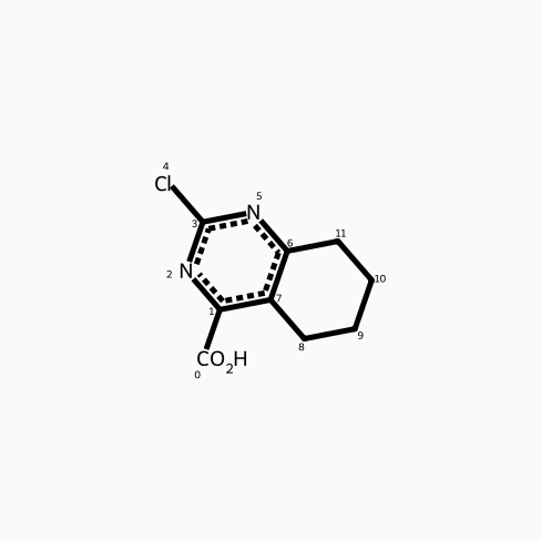 O=C(O)c1nc(Cl)nc2c1CCCC2